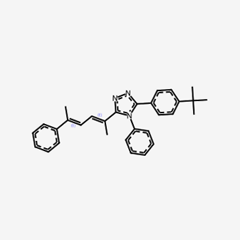 C/C(=C\C=C(/C)c1nnc(-c2ccc(C(C)(C)C)cc2)n1-c1ccccc1)c1ccccc1